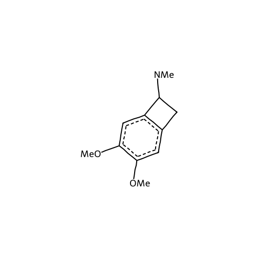 CNC1Cc2cc(OC)c(OC)cc21